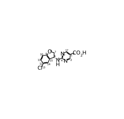 O=C(O)c1cnc(N[C@H]2COc3ccc(Cl)cc32)nc1